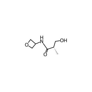 C[C@@H](CO)C(=O)NC1COC1